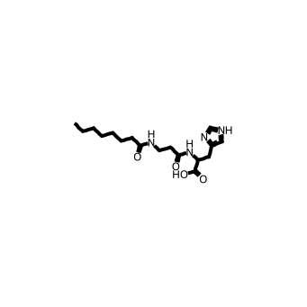 CCCCCCCC(=O)NCCC(=O)NC(Cc1c[nH]cn1)C(=O)O